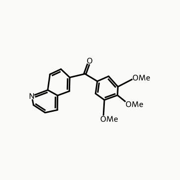 COc1cc(C(=O)c2ccc3ncccc3c2)cc(OC)c1OC